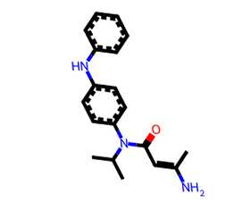 C/C(N)=C\C(=O)N(c1ccc(Nc2ccccc2)cc1)C(C)C